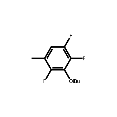 Cc1cc(F)c(F)c(OCC(C)C)c1F